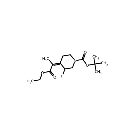 CCOC(=O)C(C)=C1CCN(C(=O)OC(C)(C)C)CC1F